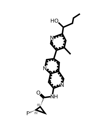 CCCC(O)c1cc(C)c(-c2cnc3cc(NC(=O)[C@@H]4C[C@@H]4F)ncc3c2)cn1